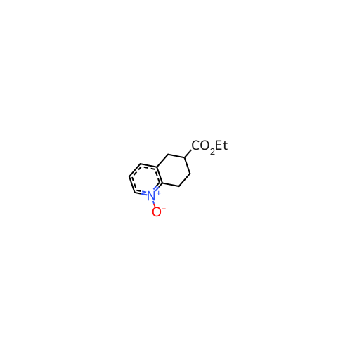 CCOC(=O)C1CCc2c(ccc[n+]2[O-])C1